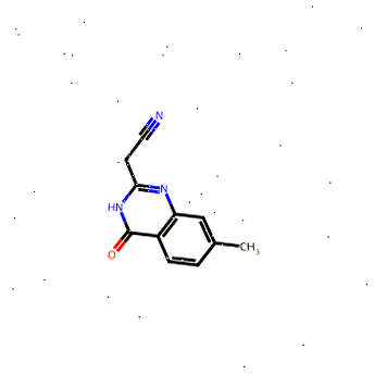 Cc1ccc2c(=O)[nH]c(CC#N)nc2c1